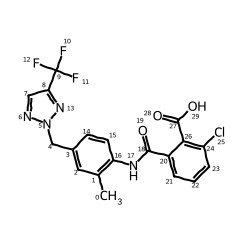 Cc1cc(Cn2ncc(C(F)(F)F)n2)ccc1NC(=O)c1cccc(Cl)c1C(=O)O